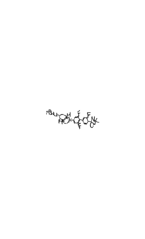 CCCCC1CC[C@@H]2C[C@H](c3cc(F)c(-c4ccc(C5=NC(C)(C)CO5)c(F)c4)c(F)c3)CC[C@@H]2C1